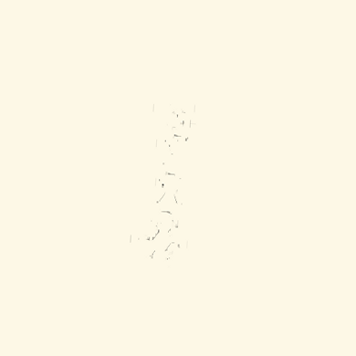 Cc1c2nc3ccc(NC(=O)CCNC(=O)OC(C)(C)C)cc3oc-2c(C)c(=O)c1C